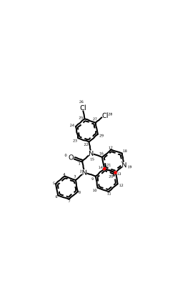 O=C(N(c1ccccc1)c1ccccc1)N(c1ccncc1)c1ccc(Cl)c(Cl)c1